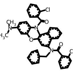 CN(C)c1ccc2c(c1)Oc1cc(N(Cc3ccccc3)C(=O)c3ccccc3Cl)c3ccccc3c1N2C(=O)c1ccccc1Cl